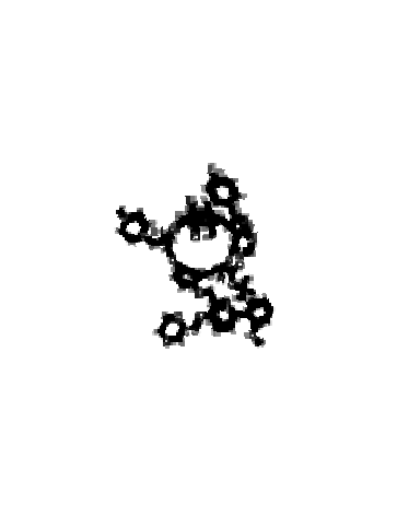 COc1ccccc1-c1ccc(OC[C@@H]2COCCO2)c(COc2ccc3cc2C[C@H](C(=O)OC(C)(C)C)Oc2ncnc4sc(-c5ccc(F)cc5)c(c24)-c2c(C)c(Cl)c(c(Cl)c2C)O[C@H](CN2CCN(C)CC2)CO3)n1